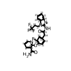 NC(=O)c1cccnc1Oc1ccc(CC(=O)Nc2nc3ccccc3n2CCC(F)(F)F)cc1F